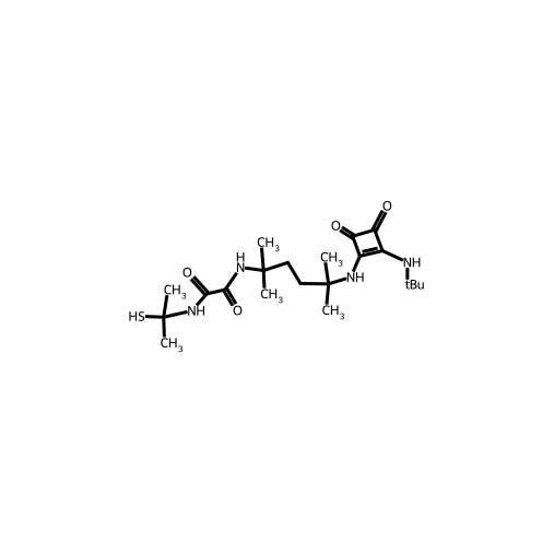 CC(C)(C)Nc1c(NC(C)(C)CCC(C)(C)NC(=O)C(=O)NC(C)(C)S)c(=O)c1=O